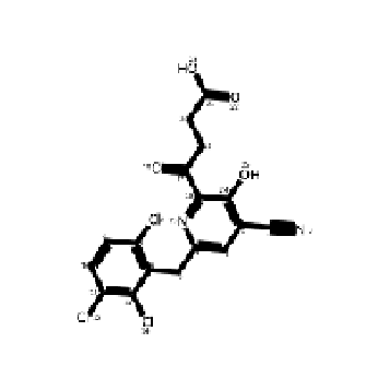 N#Cc1cc(Cc2c(Cl)ccc(Cl)c2Cl)nc(C(=O)CCC(=O)O)c1O